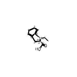 CCN1c2ccccc2C[C@@H]1C(=O)O